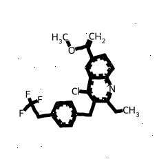 C=C(OC)c1ccc2nc(CC)c(Cc3ccc(CC(F)(F)F)cc3)c(Cl)c2c1